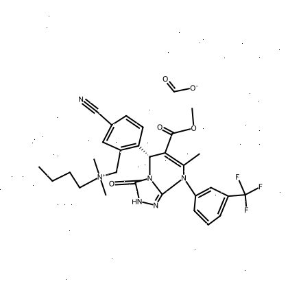 CCCC[N+](C)(C)Cc1cc(C#N)ccc1[C@@H]1C(C(=O)OC)=C(C)N(c2cccc(C(F)(F)F)c2)c2n[nH]c(=O)n21.O=C[O-]